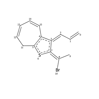 C=C/C=c1/c2c(s/c1=C(/C)Br)CC=CC=C2